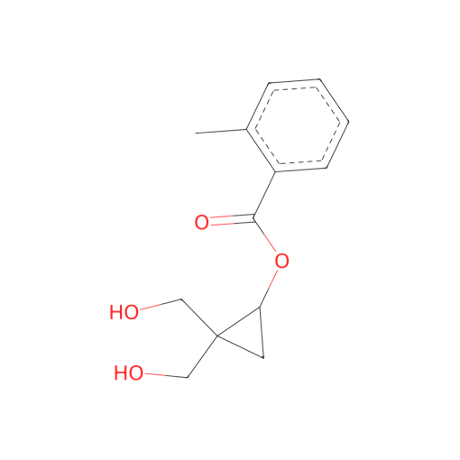 Cc1ccccc1C(=O)OC1CC1(CO)CO